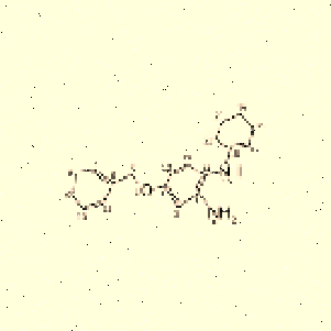 Nc1cc(OCc2ccccc2)ccc1NC1=CCCCC1